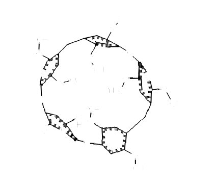 COc1cc2c(OC)cc1Cc1cc(O)c(cc1O)Cc1cc(OC)c(cc1OC)Cc1cc(OC)c(cc1OC)Cc1cc(OC)c(cc1OC)C2